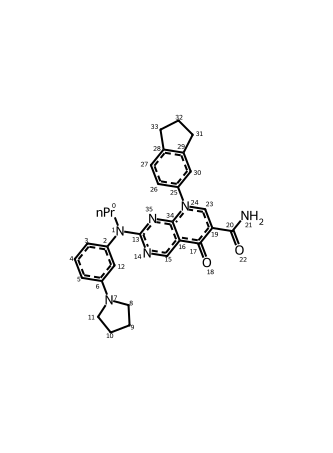 CCCN(c1cccc(N2CCCC2)c1)c1ncc2c(=O)c(C(N)=O)cn(-c3ccc4c(c3)CCC4)c2n1